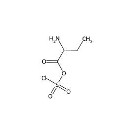 CCC(N)C(=O)OS(=O)(=O)Cl